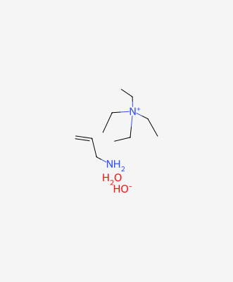 C=CCN.CC[N+](CC)(CC)CC.O.[OH-]